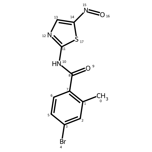 Cc1cc(Br)ccc1C(=O)Nc1ncc(N=O)s1